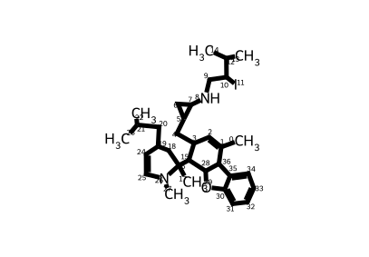 CC1=CC(CC2CC2NCC(I)C(C)C)C(C2(C)CC(CC(C)C)C=CN2C)C2Oc3ccccc3C12